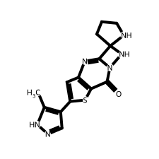 Cc1[nH]ncc1-c1cc2nc3n(c(=O)c2s1)NC31CCCN1